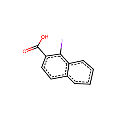 O=C(O)c1ccc2ccccc2c1I